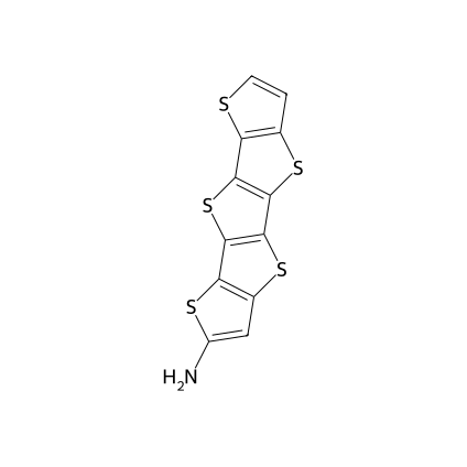 Nc1cc2sc3c(sc4c5sccc5sc43)c2s1